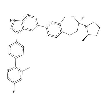 Cc1cc(F)cnc1-c1ccc(-c2c[nH]c3ncc(-c4ccc5c(c4)CC[C@@](C)(N4CCC[C@H]4C)CC5)cc23)cc1